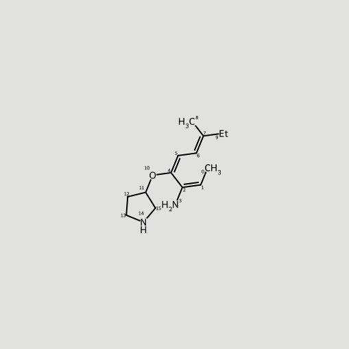 C\C=C(N)/C(=C\C=C(/C)CC)OC1CCNC1